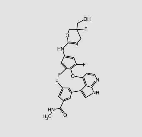 CNC(=O)c1cc(F)cc(-c2c[nH]c3nccc(Oc4c(F)cc(NC5=NCC(F)(CO)CO5)cc4F)c23)c1